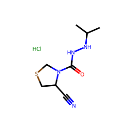 CC(C)NNC(=O)N1CSCC1C#N.Cl